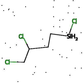 ClCC(Cl)CC[SiH2]Cl